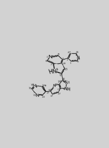 c1cc(-c2cncc3[nH]c(-c4n[nH]c5ccc(-c6cncnc6)nc45)cc23)ccn1